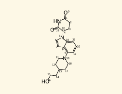 O=C1CC[C@H](n2ccc3c(N4CCC(CCO)CC4)cccc32)C(=O)N1